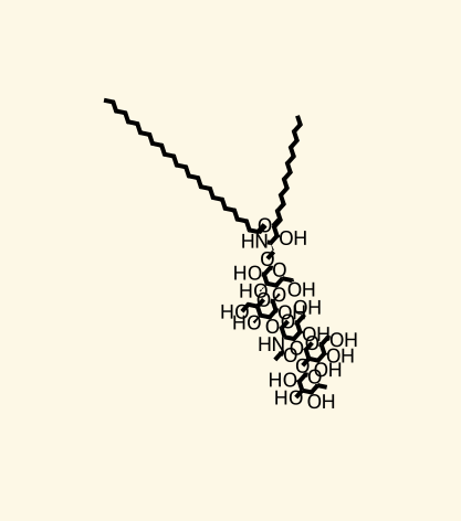 CCCCCCCCCCCCC/C=C/[C@@H](O)[C@H](CO[C@@H]1OC(CO)[C@@H](O[C@@H]2OC(CO)[C@H](O)[C@H](O[C@@H]3OC(CO)[C@@H](O)[C@H](O[C@@H]4OC(CO)[C@H](O)[C@H](O)C4O[C@H]4OC(C)[C@@H](O)C(O)[C@@H]4O)C3NC(C)=O)C2O)[C@H](O)C1O)NC(=O)CCCCCCCCCCCCCCCCCCCCCCCCC